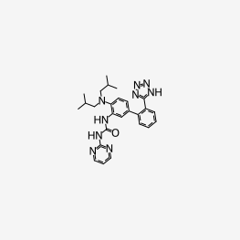 CC(C)CN(CC(C)C)c1ccc(-c2ccccc2-c2nnn[nH]2)cc1NC(=O)Nc1ncccn1